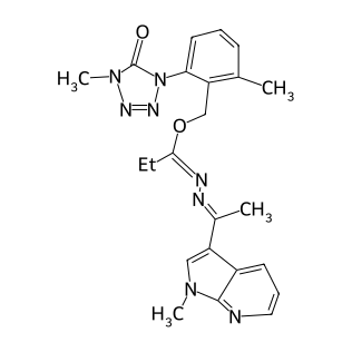 CC/C(=N\N=C(/C)c1cn(C)c2ncccc12)OCc1c(C)cccc1-n1nnn(C)c1=O